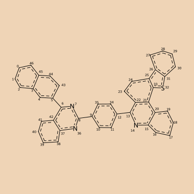 c1ccc2cc(-c3nc(-c4ccc(-c5nc6ccccc6c6c5ccc5c7ccccc7sc56)cc4)nc4ccccc34)ccc2c1